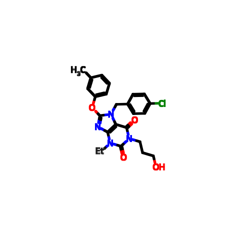 CCn1c(=O)n(CCCO)c(=O)c2c1nc(Oc1cccc(C)c1)n2Cc1ccc(Cl)cc1